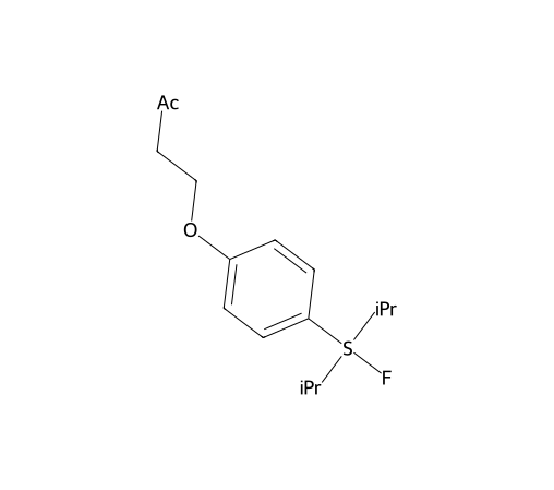 CC(=O)CCOc1ccc(S(F)(C(C)C)C(C)C)cc1